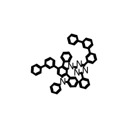 c1ccc(-c2cccc(-c3cccc(-c4nc(-c5ccccc5)nc(-n5c6ccccc6c6c(-c7cccc(-c8ccccc8)c7)cc7c(c8ccccc8n7-c7ccccc7)c65)n4)c3)c2)cc1